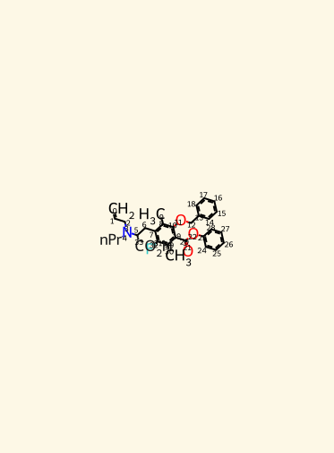 C=CCN(CCC)C(Cc1c(C)c(OCc2ccccc2)c(C(=O)Oc2ccccc2)c(C)c1F)C(=O)O